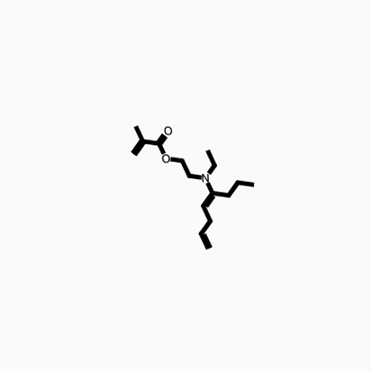 C=CC/C=C(\CCC)N(CC)CCOC(=O)C(=C)C